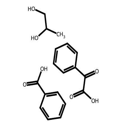 CC(O)CO.O=C(O)C(=O)c1ccccc1.O=C(O)c1ccccc1